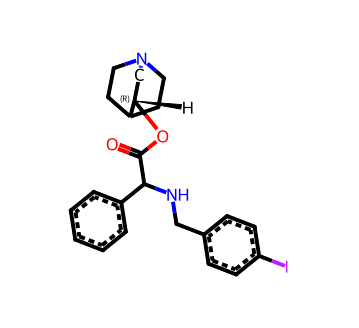 O=C(O[C@H]1CN2CCC1CC2)C(NCc1ccc(I)cc1)c1ccccc1